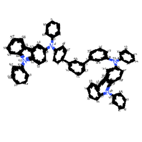 c1ccc(N(c2ccc(-c3cccc(-c4cccc(N(c5ccccc5)c5ccc6c(c5)c5ccccc5n6-c5ccccc5)c4)c3)cc2)c2ccc3c(c2)c2ccccc2n3-c2ccccc2)cc1